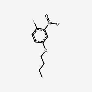 CCCCOc1ccc(F)c([N+](=O)[O-])c1